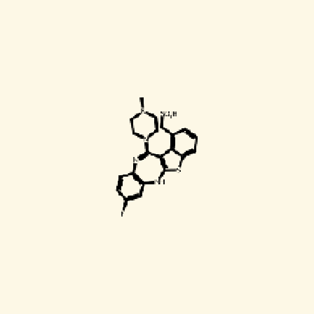 CN1CCN(C2=Nc3ccc(F)cc3Nc3sc4cccc(CS(=O)(=O)O)c4c32)CC1